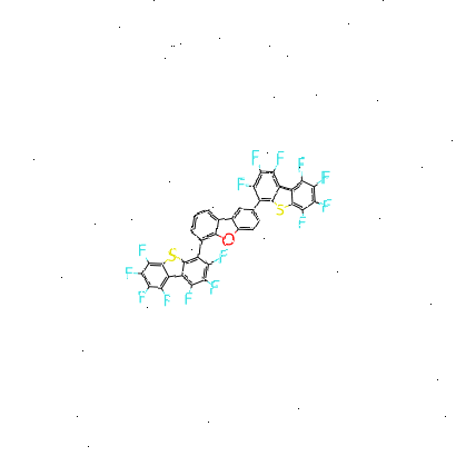 Fc1c(F)c(F)c2c(sc3c(-c4ccc5oc6c(-c7c(F)c(F)c(F)c8c7sc7c(F)c(F)c(F)c(F)c78)cccc6c5c4)c(F)c(F)c(F)c32)c1F